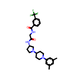 Cc1cc(C)cc(N2CCC(N3CC[C@@H](NC(=O)CNC(=O)c4cccc(C(F)(F)F)c4)C3)CC2)c1